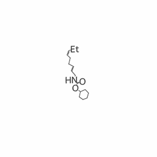 CC/C=C\CC/C=C/CNC(=O)OC1CCCCC1